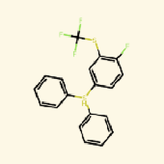 Fc1ccc([SH](c2ccccc2)c2ccccc2)cc1SC(F)(F)F